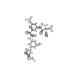 Cn1cc(-c2cc(F)cc(CNC(=O)c3cc(N4CC[C@@](C#N)(C5CC5)C4=O)cc(C4CC4)n3)c2)cn1